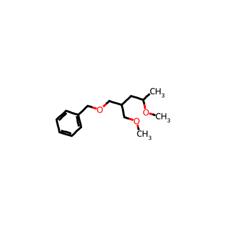 COCC(COCc1ccccc1)CC(C)OC